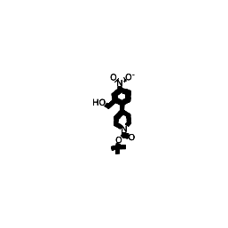 CC(C)(C)OC(=O)N1CC=C(c2ccc([N+](=O)[O-])cc2CO)CC1